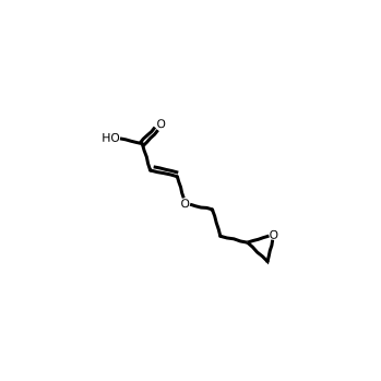 O=C(O)C=COCCC1CO1